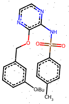 Cc1ccc(S(=O)(=O)Nc2nccnc2OCc2cccc(OCC(C)C)c2)cc1